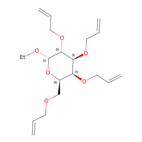 C=CCOC[C@H]1O[C@H](OCC)[C@H](OCC=C)[C@@H](OCC=C)[C@H]1OCC=C